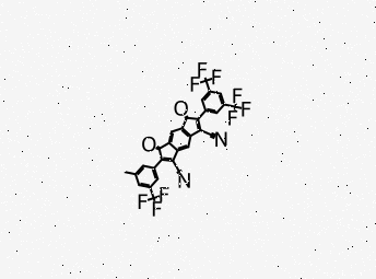 Cc1cc(-c2c(C#N)c3cc4c(C#N)c(-c5cc(C(F)(F)F)cc(C(F)(F)F)c5)c(=O)c4cc3c2=O)cc(C(F)(F)F)c1